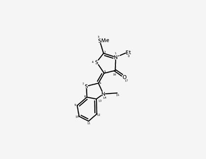 CC[N+]1=C(SC)S/C(=C2\Sc3ccccc3N2C)C1=O